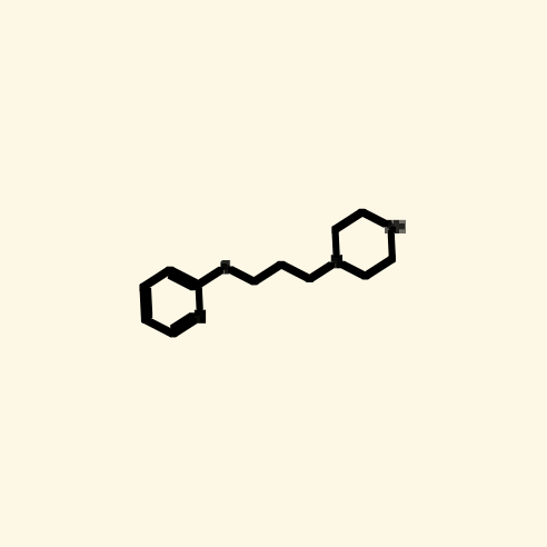 c1ccc(SCCCN2CCNCC2)nc1